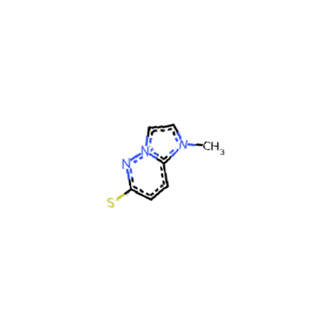 Cn1cc[n+]2nc([S-])ccc12